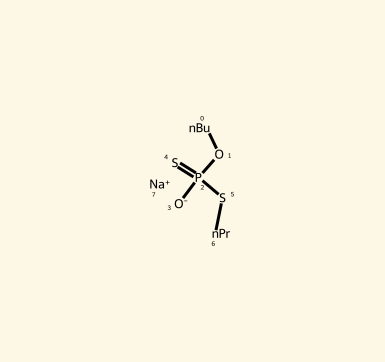 CCCCOP([O-])(=S)SCCC.[Na+]